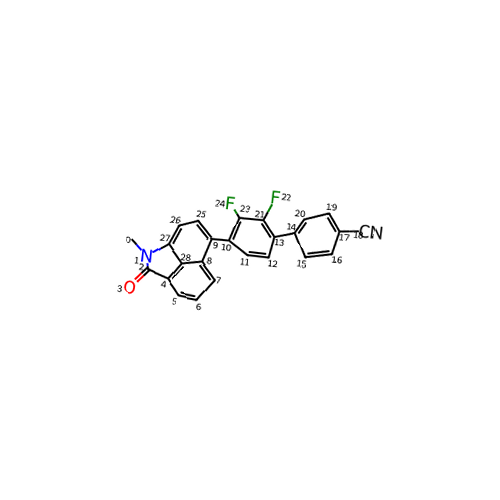 CN1C(=O)c2cccc3c(-c4ccc(-c5ccc(C#N)cc5)c(F)c4F)ccc1c23